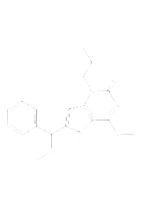 CCCn1c(=O)nc(SC)c2[nH]c(C(OC)c3ccccc3)nc21